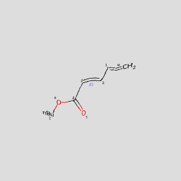 C=C/C=C/C(=O)OCCCC